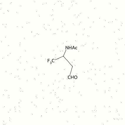 CC(=O)NC(CC=O)C(F)(F)F